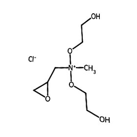 C[N+](CC1CO1)(OCCO)OCCO.[Cl-]